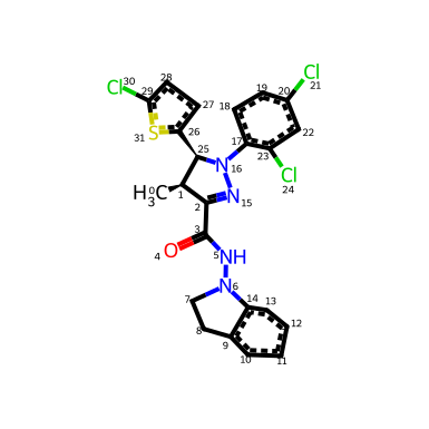 C[C@@H]1C(C(=O)NN2CCc3ccccc32)=NN(c2ccc(Cl)cc2Cl)[C@@H]1c1ccc(Cl)s1